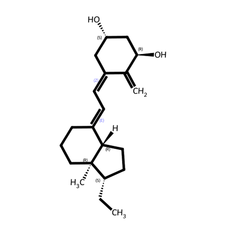 C=C1/C(=C\C=C2/CCC[C@]3(C)[C@@H](CC)CC[C@@H]23)C[C@H](O)C[C@H]1O